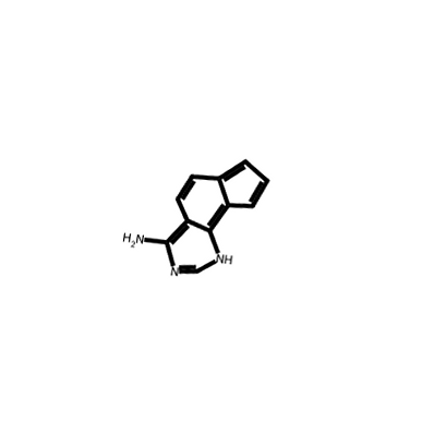 Nc1nc[nH]c2c1ccc1cccc12